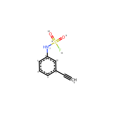 C#Cc1cccc(NS(=O)(=O)F)c1